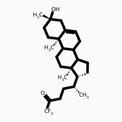 C[C@H](CCC(=O)C(F)(F)F)[C@H]1CCC2C3CC=C4C[C@@](C)(O)CC[C@]4(C)C3CC[C@@]21C